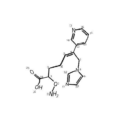 NOC(CCC=C(Cn1ccnc1)c1cccnc1)C(=O)O